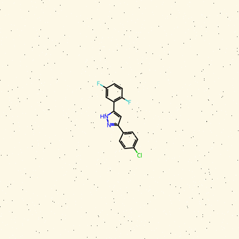 Fc1ccc(F)c(-c2cc(-c3ccc(Cl)cc3)n[nH]2)c1